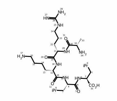 CC(C)C[C@H](NC(=O)[C@H](CC(C)C)NC(=O)[C@H](CCCCN)NC(=O)[C@H](CCCNC(=N)N)NC(=O)[C@H](C)N)C(=O)O